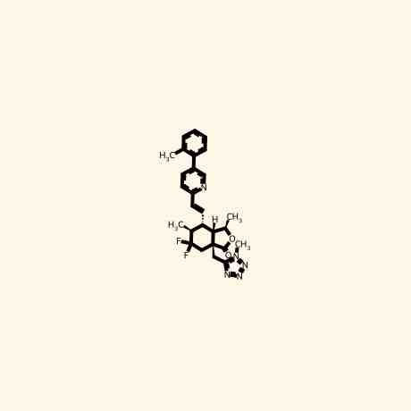 Cc1ccccc1-c1ccc(/C=C/[C@@H]2[C@@H]3[C@@H](C)OC(=O)[C@]3(Cc3nnnn3C)CC(F)(F)[C@H]2C)nc1